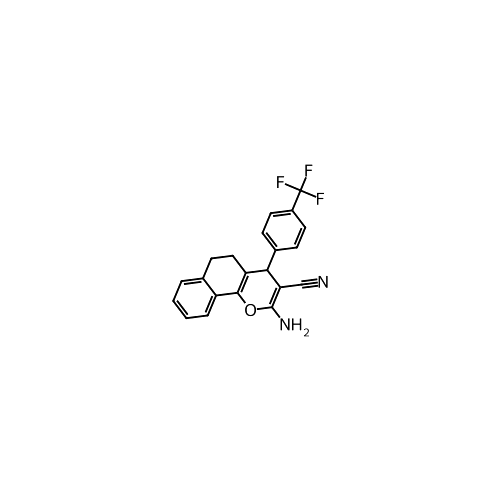 N#CC1=C(N)OC2=C(CCc3ccccc32)C1c1ccc(C(F)(F)F)cc1